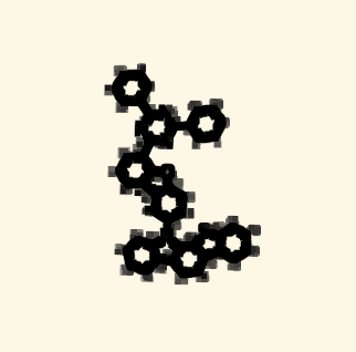 c1ccc(-c2nc(-c3ccccc3)nc(-c3cccc4c3oc3ccc(-n5c6ccccc6c6ccc7c8ccccc8sc7c65)cc34)n2)cc1